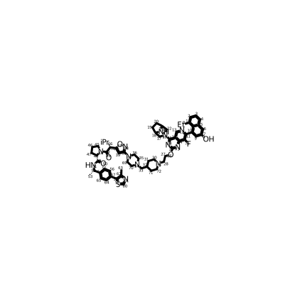 CCc1cccc2cc(O)cc(-c3ncc4c(N5CC6CCC(C5)N6)nc(OCCN5CCC(CN6CCN(c7cc([C@H](C(=O)N8CCC[C@H]8C(=O)N[C@@H](C)c8ccc(-c9scnc9C)cc8)C(C)C)on7)CC6)CC5)nc4c3F)c12